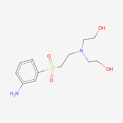 Nc1cccc(S(=O)(=O)CCN(CCO)CCO)c1